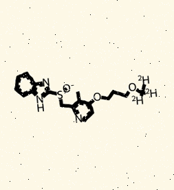 [2H]C([2H])([2H])OCCCOc1ccnc(C[S+]([O-])c2nc3ccccc3[nH]2)c1C